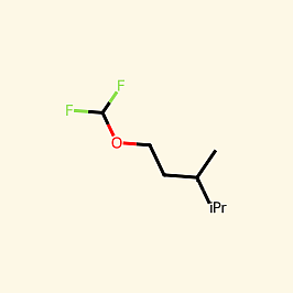 C[C](CCOC(F)F)C(C)C